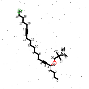 CCCC[C@H](C#CCCCCCCCC#CCCCCBr)OCC(C)(C)[SiH](C)C